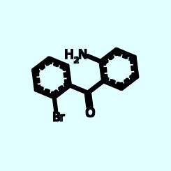 Nc1ccccc1C(=O)c1ccccc1Br